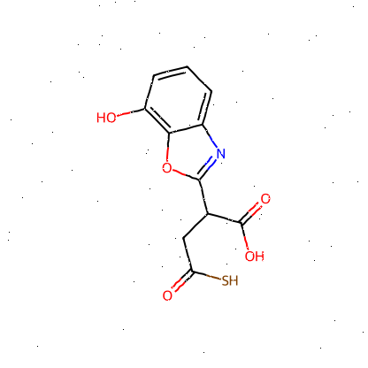 O=C(S)CC(C(=O)O)c1nc2cccc(O)c2o1